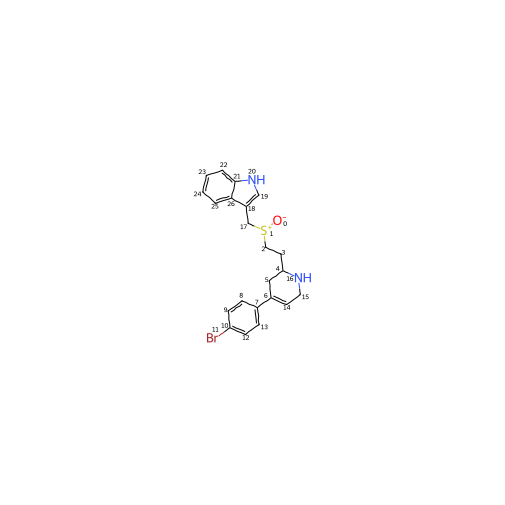 [O-][S+](CCC1CC(c2ccc(Br)cc2)=CCN1)Cc1c[nH]c2ccccc12